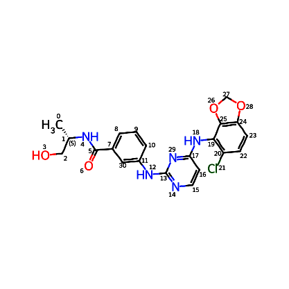 C[C@@H](CO)NC(=O)c1cccc(Nc2nccc(Nc3c(Cl)ccc4c3OCO4)n2)c1